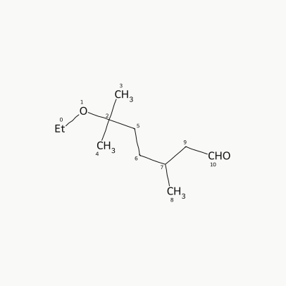 CCOC(C)(C)CCC(C)CC=O